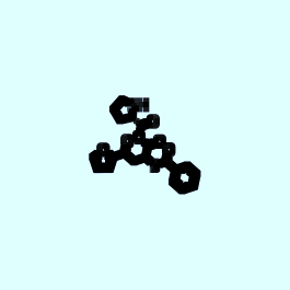 O=C(SC(CC(=O)c1ccco1)C(=O)OC(=O)[C@@H]1CCCN1)c1ccccc1